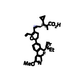 C=CC1=C(/C=C\C[C@H](C2CC2)[C@H](C)C(=O)O)CCC(c2ccc(-c3cc(OC)ncc3F)c(CN(CC)C(C)C)c2)O1